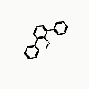 CSc1c(-c2ccccc2)cccc1-c1ccccc1